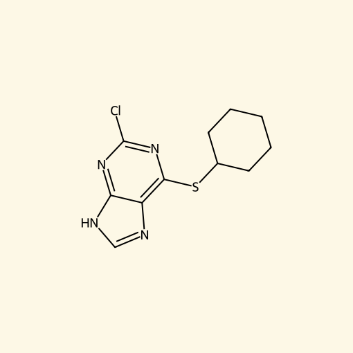 Clc1nc(SC2CCCCC2)c2nc[nH]c2n1